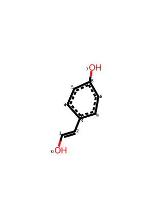 OC=Cc1ccc(O)cc1